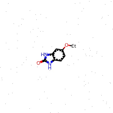 CCOc1ccc2[nH]c(=O)[nH]c2c1